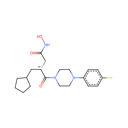 O=C(C[C@@H](CC1CCCC1)C(=O)N1CCN(c2ccc(F)cc2)CC1)NO